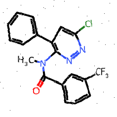 CN(C(=O)c1cccc(C(F)(F)F)c1)c1nnc(Cl)cc1-c1ccccc1